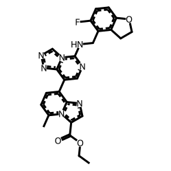 CCOC(=O)c1cnc2c(-c3cnc(NCc4c(F)ccc5c4CCO5)n4cnnc34)ccc(C)n12